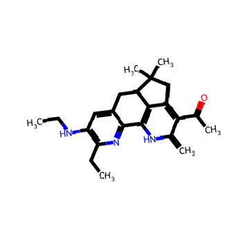 C=C1NC2=C3C(=C1C(C)=O)CC(C)(C)C3Cc1cc(NCC)c(CC)nc12